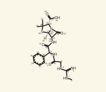 CNC(=N)NCC(=O)NC(C(=O)N[C@@H]1C(=O)N2[C@@H]1SC(C)(C)[C@@H]2C(=O)O)c1ccccc1